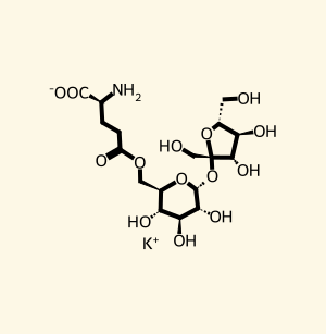 N[C@@H](CCC(=O)OC[C@H]1O[C@H](O[C@]2(CO)O[C@H](CO)[C@@H](O)[C@@H]2O)[C@H](O)[C@@H](O)[C@@H]1O)C(=O)[O-].[K+]